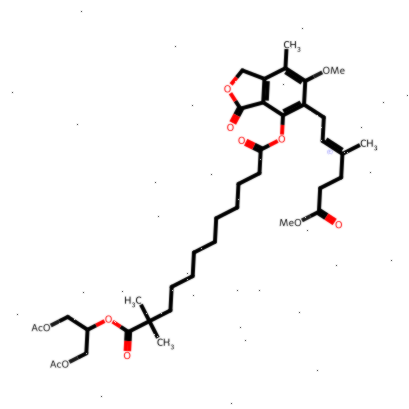 COC(=O)CC/C(C)=C/Cc1c(OC)c(C)c2c(c1OC(=O)CCCCCCCCCC(C)(C)C(=O)OC(COC(C)=O)COC(C)=O)C(=O)OC2